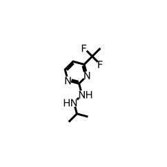 CC(C)NNc1nccc(C(C)(F)F)n1